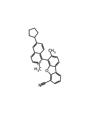 Cc1ccc2c(oc3c(C#N)cccc32)c1-c1c2ccc(C3CCCC3)cc2cc[n+]1C